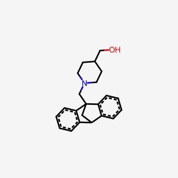 OCC1CCN(CC23CC(c4ccccc42)c2ccccc23)CC1